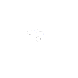 CC(C=C1C(=O)N(c2ccccc2)C1c1ccccc1)=NOCCCN1CCCCC1